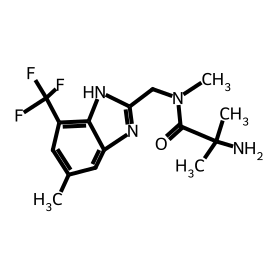 Cc1cc(C(F)(F)F)c2[nH]c(CN(C)C(=O)C(C)(C)N)nc2c1